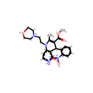 COC(=O)C1=C(C)N(CCN2CCOCC2)c2cc[nH]c(=O)c2C1c1ccccc1[N+](=O)[O-]